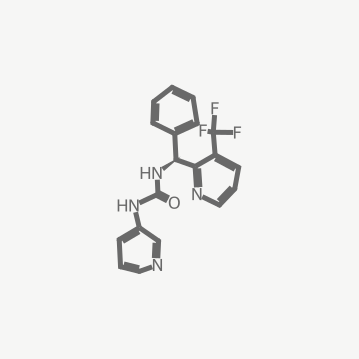 O=C(Nc1cccnc1)N[C@@H](c1ccccc1)c1ncccc1C(F)(F)F